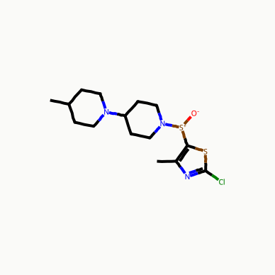 Cc1nc(Cl)sc1[S+]([O-])N1CCC(N2CCC(C)CC2)CC1